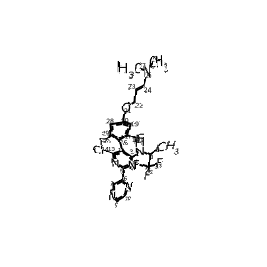 CC(Nc1nc(-c2cnccn2)nc(Cl)c1-c1c(F)cc(OCCCN(C)C)cc1F)C(F)(F)F